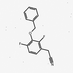 N#CCc1ccc(F)c(OCc2ccccc2)c1F